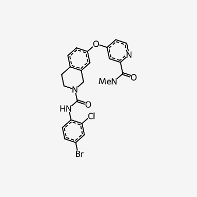 CNC(=O)c1cc(Oc2ccc3c(c2)CN(C(=O)Nc2ccc(Br)cc2Cl)CC3)ccn1